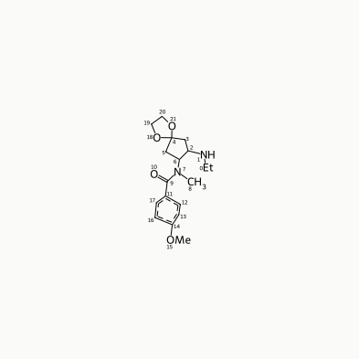 CCNC1CC2(CC1N(C)C(=O)c1ccc(OC)cc1)OCCO2